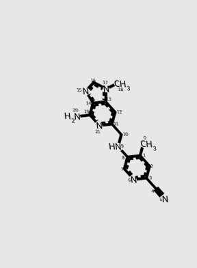 Cc1cc(C#N)ncc1NCc1cc2c(ncn2C)c(N)n1